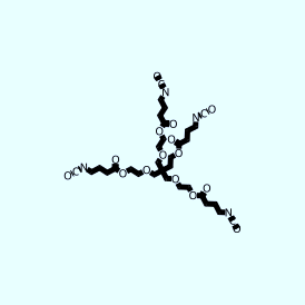 O=C=NCCCC(=O)OCCOCC(CCOC(=O)CCCN=C=O)(COCCOC(=O)CCCN=C=O)COCCOC(=O)CCCN=C=O